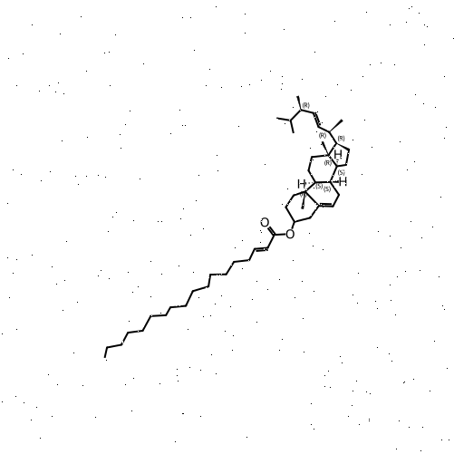 CCCCCCCCCCCCCCCC=CC(=O)OC1CC[C@@]2(C)C(=CC[C@H]3[C@@H]4CC[C@H]([C@H](C)C=C[C@H](C)C(C)C)[C@@]4(C)CC[C@@H]32)C1